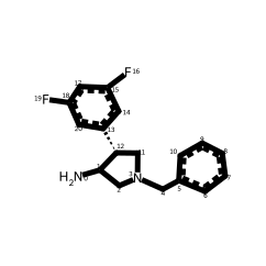 NC1CN(Cc2ccccc2)C[C@H]1c1cc(F)cc(F)c1